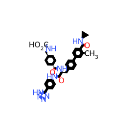 Cc1cc(-c2ccc(C[C@H](NC(=O)[C@H]3CC[C@H](CNC(=O)O)CC3)C(=O)Nc3ccc(-c4nnn[nH]4)cc3)cc2)ccc1C(=O)NC1CC1